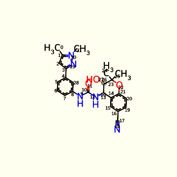 Cc1cc(-c2cccc(NC(=O)N[C@@H]3c4cc(C#N)ccc4OC(C)(C)[C@H]3O)c2)nn1C